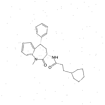 CN1C(=O)[C@@H](NC(=O)CCC2CCCCC2)C[C@@H](c2ccccc2)c2ccccc21